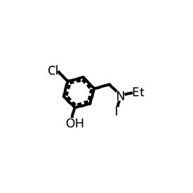 CCN(I)Cc1cc(O)cc(Cl)c1